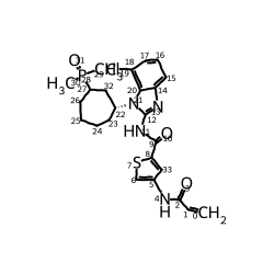 C=CC(=O)Nc1csc(C(=O)Nc2nc3cccc(Cl)c3n2[C@@H]2CCCCC(P(C)(C)=O)C2)c1